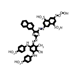 Cc1c(C#N)c(Nc2ccc(S(=O)(=O)O)cc2)cc(Nc2ccc(S(=O)(=O)O)cc2)c1N=Nc1nc(-c2ccc3ccccc3c2)c(/N=N/c2cc(S(=O)(=O)O)c3cc(SOOO)cc(S(=O)(=O)O)c3c2)s1